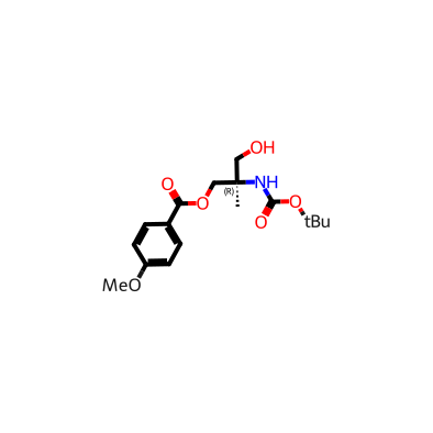 COc1ccc(C(=O)OC[C@@](C)(CO)NC(=O)OC(C)(C)C)cc1